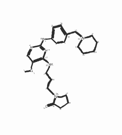 COc1cnc(Nc2ccc(CN3CCCCC3)cc2)nc1NCCCN1CCCC1=O